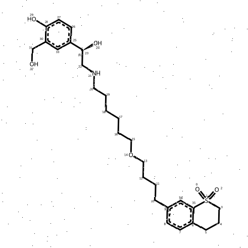 O=S1(=O)CCCc2ccc(CCCCOCCCCCCNC[C@H](O)c3ccc(O)c(CO)c3)cc21